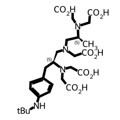 C[C@@H](CN(CC(=O)O)C[C@H](Cc1ccc(NC(C)(C)C)cc1)N(CC(=O)O)CC(=O)O)N(CC(=O)O)CC(=O)O